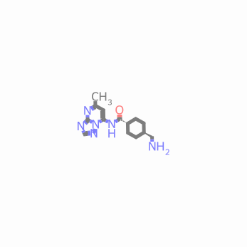 Cc1cc(NC(=O)[C@H]2CC[C@H](CN)CC2)n2ncnc2n1